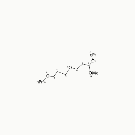 [CH2]CCOC(CCOCCCOCCC)OC